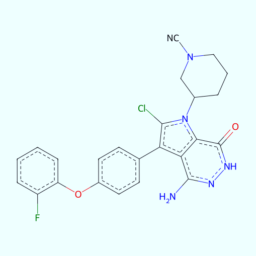 N#CN1CCCC(n2c(Cl)c(-c3ccc(Oc4ccccc4F)cc3)c3c(N)n[nH]c(=O)c32)C1